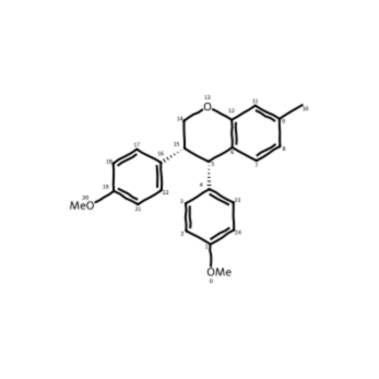 COc1ccc([C@H]2c3ccc(C)cc3OC[C@H]2c2ccc(OC)cc2)cc1